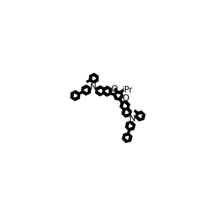 Cc1ccccc1N(c1ccc(-c2ccccc2)cc1)c1ccc2cc3c(cc2c1)oc1c(C(C)C)c2oc4cc5cc(N(c6ccc(-c7ccccc7)cc6)c6ccccc6C)ccc5cc4c2cc13